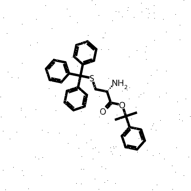 CC(C)(OC(=O)[C@@H](N)CSC(c1ccccc1)(c1ccccc1)c1ccccc1)c1ccccc1